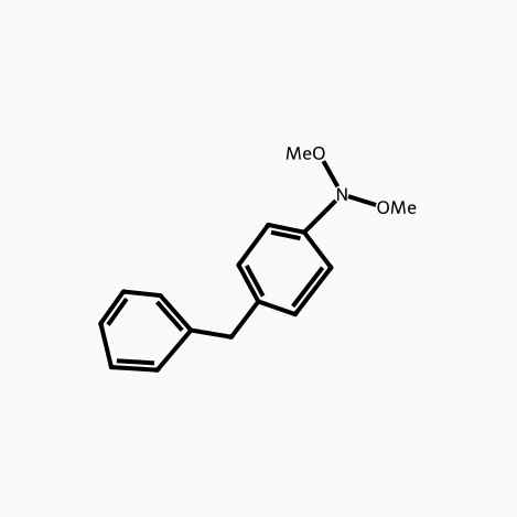 CON(OC)c1ccc(Cc2ccccc2)cc1